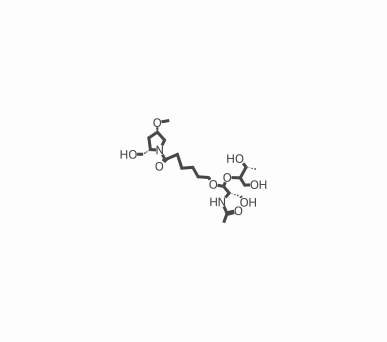 CO[C@@H]1C[C@@H](CO)N(C(=O)CCCCCOC(OC(CO)[C@@H](C)O)[C@H](CO)NC(C)=O)C1